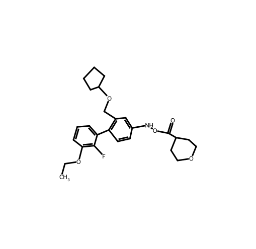 CCOc1cccc(-c2ccc(NOC(=O)C3CCOCC3)cc2COC2CCCC2)c1F